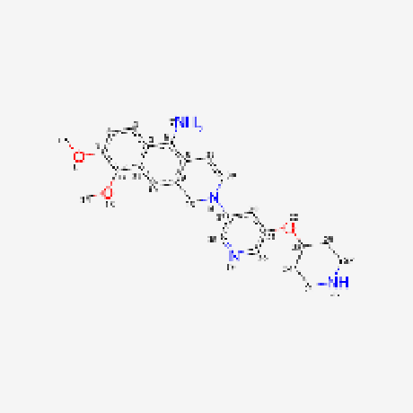 COc1ccc2c(N)c3c(cc2c1OC)CN(c1cncc(OC2CCNCC2)c1)C=C3